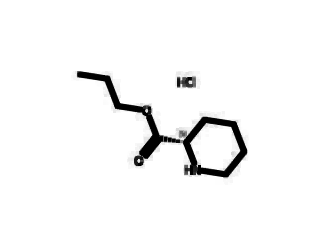 CCCOC(=O)[C@@H]1CCCCN1.Cl